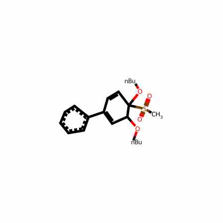 CCCCOC1C=C(c2ccccc2)C=CC1(OCCCC)S(C)(=O)=O